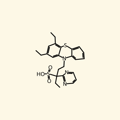 CCc1cc(CC)c2c(c1)N(CCC(CC)(c1ncccn1)S(=O)(=O)O)c1ccccc1S2